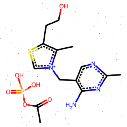 CC(=O)OP(=O)(O)O.Cc1ncc(C[n+]2csc(CCO)c2C)c(N)n1